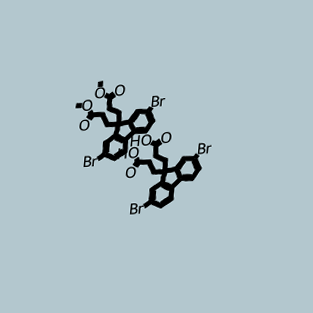 COC(=O)CCC1(CCC(=O)OC)c2cc(Br)ccc2-c2ccc(Br)cc21.O=C(O)CCC1(CCC(=O)O)c2cc(Br)ccc2-c2ccc(Br)cc21